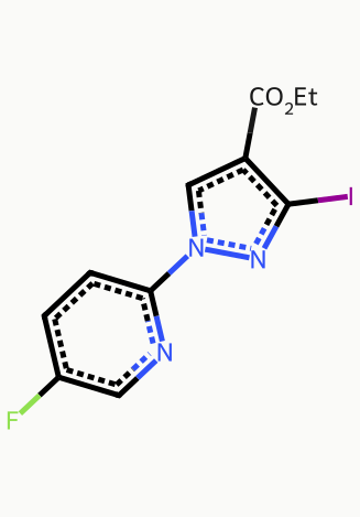 CCOC(=O)c1cn(-c2ccc(F)cn2)nc1I